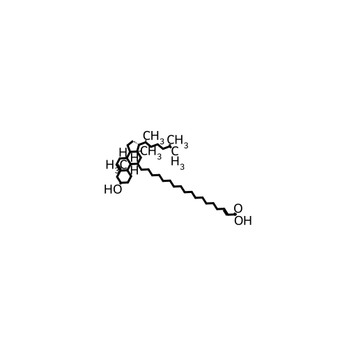 CC(C)CCC[C@@H](C)[C@H]1CC[C@H]2[C@@H]3CC=C4CC(O)CC[C@]4(C)[C@H]3C(CCCCCCCCCCCCCCCC=CC(=O)O)C[C@]12C